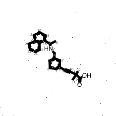 CC(NCc1cccc(C#CC(C)(C)C(=O)O)c1)c1cccc2ccccc12